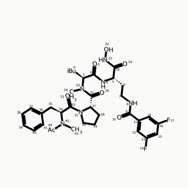 CCC(C)[C@@H](C(=O)N[C@@H](CCNC(=O)c1cc(F)cc(F)c1)C(=O)NO)N(C)C(=O)[C@@H]1CCCN1C(=O)[C@H](Cc1ccccc1)N(C)C(C)=O